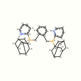 c1ccc(P(Cc2ccccc2CP(c2ccccn2)C23CC4CC(CC(C4)C2)C3)C23CC4CC(CC(C4)C2)C3)nc1